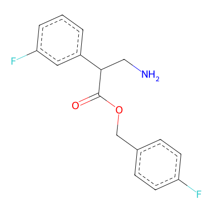 NCC(C(=O)OCc1ccc(F)cc1)c1cccc(F)c1